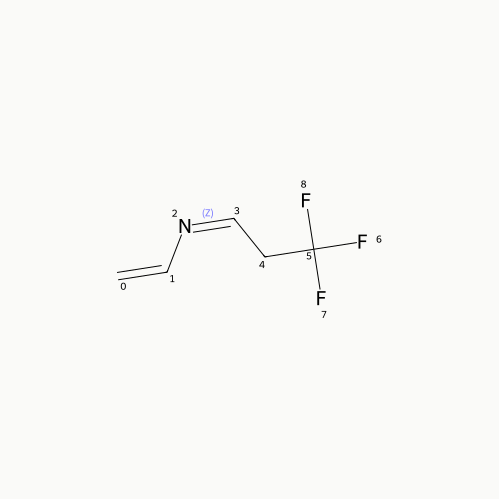 C=C/N=C\CC(F)(F)F